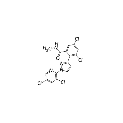 CNC(=O)c1cc(Cl)cc(Cl)c1-c1ccn(-c2ncc(Cl)cc2Cl)n1